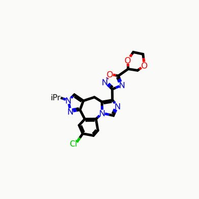 CC(C)n1cc2c(n1)-c1cc(Cl)ccc1-n1cnc(-c3noc(C4COCCO4)n3)c1C2